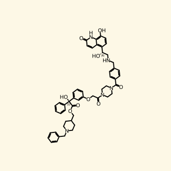 O=C(COc1cccc([C@](O)(C(=O)OCC2CCN(Cc3ccccc3)CC2)c2ccccc2)c1)N1CCN(C(=O)c2ccc(CNC[C@H](O)c3ccc(O)c4[nH]c(=O)ccc34)cc2)CC1